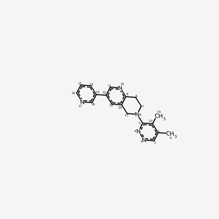 Cc1cnnc(N2CCc3ncc(-c4cccnc4)cc3C2)c1C